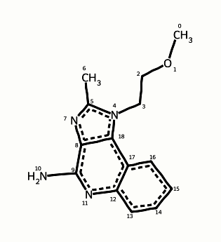 COCCn1c(C)nc2c(N)nc3ccccc3c21